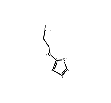 CCCOc1cccs1